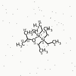 CC[Si](CC)(CC)[Si](S)(CC)OC(C)C